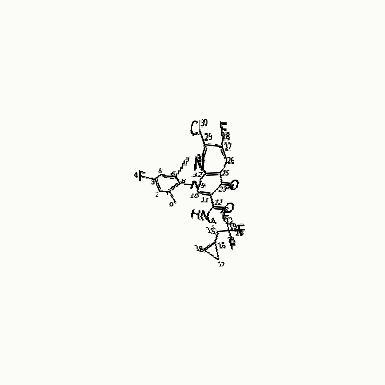 Cc1cc(F)cc(C)c1-n1cc(C(=O)N[C@@H](C2CC2)C(F)(F)F)c(=O)c2cc(F)c(Cl)nc21